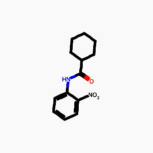 O=C(Nc1ccccc1[N+](=O)[O-])C1CCCCC1